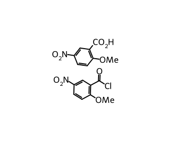 COc1ccc([N+](=O)[O-])cc1C(=O)Cl.COc1ccc([N+](=O)[O-])cc1C(=O)O